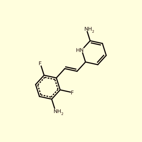 NC1=CC=CC(C=Cc2c(F)ccc(N)c2F)N1